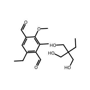 CCC(CO)(CO)CO.CCc1cc(C=O)c(OC)c(C)c1C=O